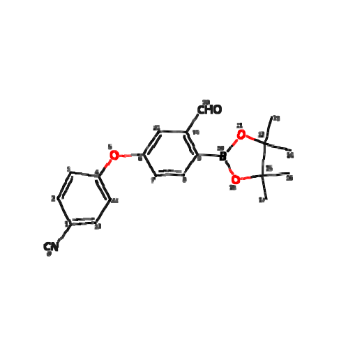 [C-]#[N+]c1ccc(Oc2ccc(B3OC(C)(C)C(C)(C)O3)c(C=O)c2)cc1